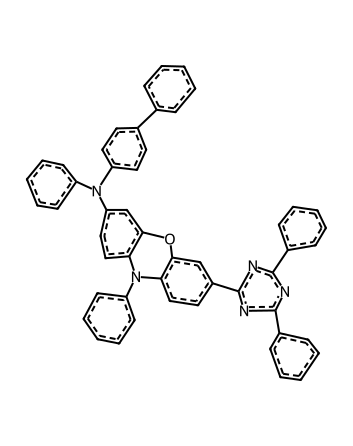 c1ccc(-c2ccc(N(c3ccccc3)c3ccc4c(c3)Oc3cc(-c5nc(-c6ccccc6)nc(-c6ccccc6)n5)ccc3N4c3ccccc3)cc2)cc1